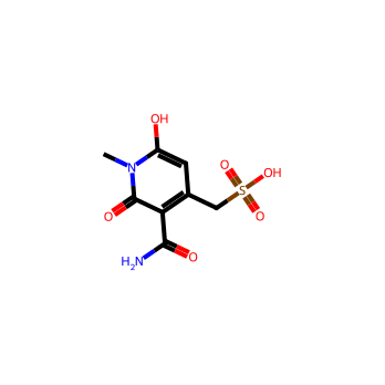 Cn1c(O)cc(CS(=O)(=O)O)c(C(N)=O)c1=O